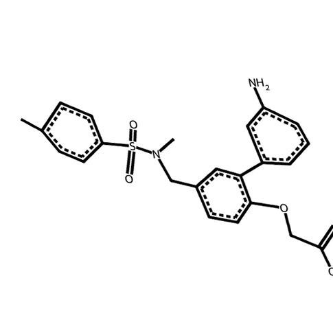 Cc1ccc(S(=O)(=O)N(C)Cc2ccc(OCC(=O)O)c(-c3cccc(N)c3)c2)cc1